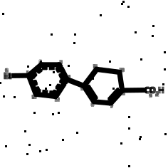 CCc1ccc(C2=CC=C(C(=O)O)CC2)cc1